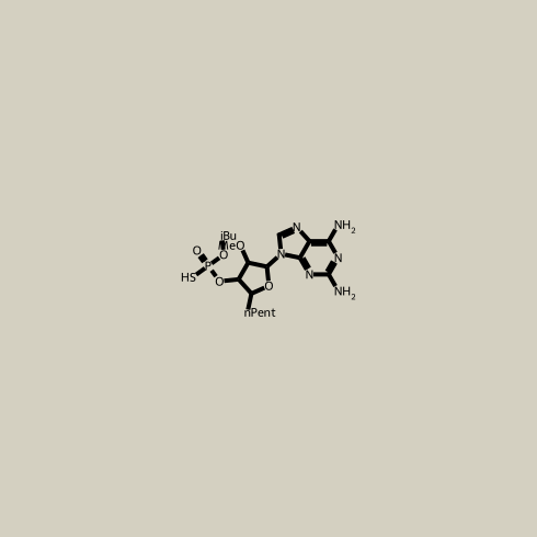 CCCCCC1OC(n2cnc3c(N)nc(N)nc32)C(OC)C1OP(=O)(S)OC(C)CC